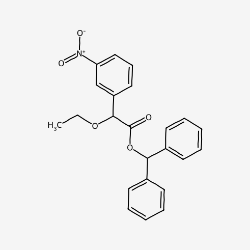 CCOC(C(=O)OC(c1ccccc1)c1ccccc1)c1cccc([N+](=O)[O-])c1